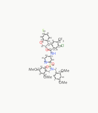 COc1ccc(CN(Cc2ccc(OC)cc2OC)S(=O)(=O)c2cc(NC(=O)c3cc(Cl)c(C(F)(F)F)cc3C3CCOc4cc(F)ccc43)ccn2)c(OC)c1